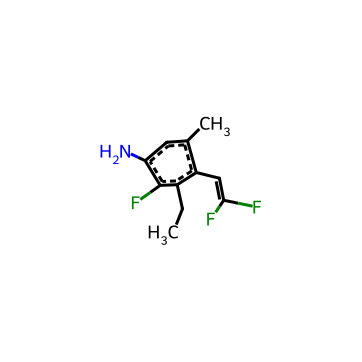 CCc1c(F)c(N)cc(C)c1C=C(F)F